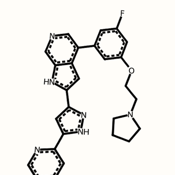 Fc1cc(OCCN2CCCC2)cc(-c2cncc3[nH]c(-c4cc(-c5ccccn5)[nH]n4)cc23)c1